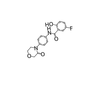 O=C(Nc1ccc(N2CCOCC2=O)cc1)c1cc(F)ccc1O